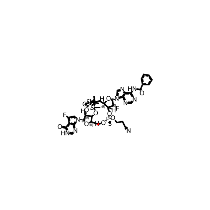 CC(C)(C)[Si](C)(C)OC1[C@H]2OP(=O)(S)OC[C@H]3O[C@@H](n4cnc5c(NC(=O)c6ccccc6)ncnc54)[C@H](F)[C@@H]3OP(=S)(OCCC#N)OC[C@H]1O[C@H]2n1cc(F)c2c(=O)[nH]cnc21